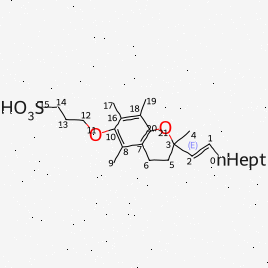 CCCCCCC/C=C/C1(C)CCc2c(C)c(OCCCS(=O)(=O)O)c(C)c(C)c2O1